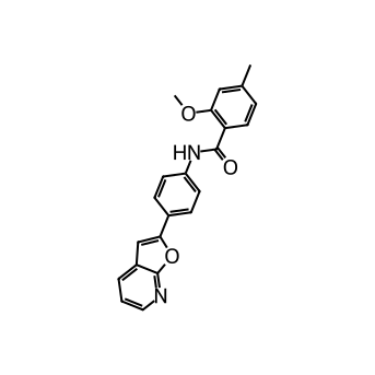 COc1cc(C)ccc1C(=O)Nc1ccc(-c2cc3cccnc3o2)cc1